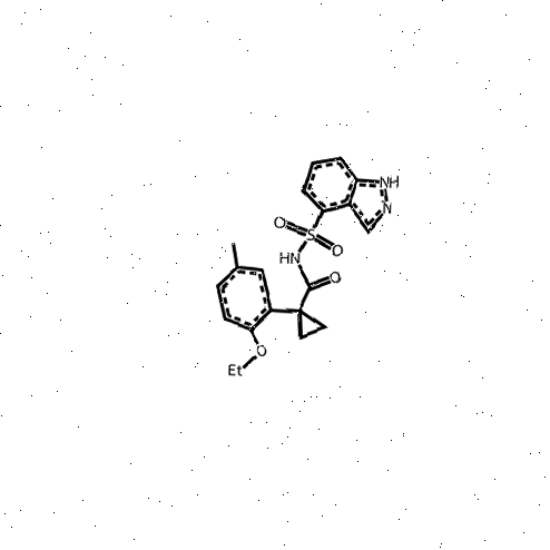 CCOc1ccc(C)cc1C1(C(=O)NS(=O)(=O)c2cccc3[nH]ncc23)CC1